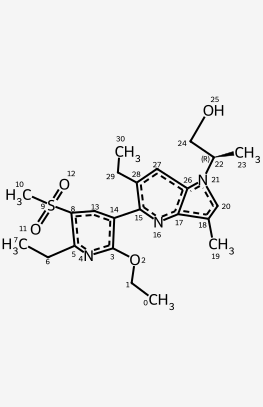 CCOc1nc(CC)c(S(C)(=O)=O)cc1-c1nc2c(C)cn([C@H](C)CO)c2cc1CC